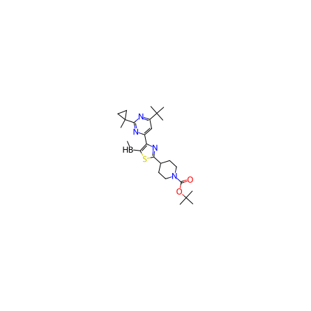 CBc1sc(C2CCN(C(=O)OC(C)(C)C)CC2)nc1-c1cc(C(C)(C)C)nc(C2(C)CC2)n1